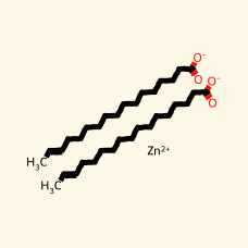 CC=CCCCCCCCCCCCCCC(=O)[O-].CC=CCCCCCCCCCCCCCC(=O)[O-].[Zn+2]